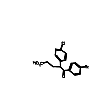 O=C(O)CCC(C(=O)c1ccc(Br)cc1)c1ccc(Cl)cc1